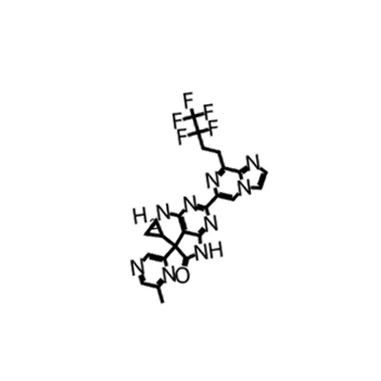 Cc1cncc(C2(C3CC3)C(=O)Nc3nc(-c4cn5ccnc5c(CCC(F)(F)C(F)(F)F)n4)nc(N)c32)n1